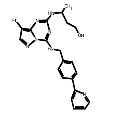 CCc1cnn2c(NCc3ccc(-c4ccccn4)cc3)nc(NC(C)CCO)nc12